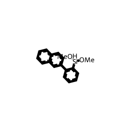 CO[SiH](OC)c1ccccc1-c1ccc2ccccc2c1